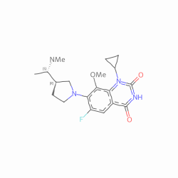 CN[C@@H](C)[C@@H]1CCN(c2c(F)cc3c(=O)[nH]c(=O)n(C4CC4)c3c2OC)C1